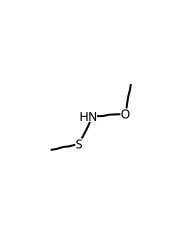 CONSC